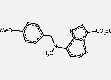 CCOC(=O)c1cnc2c(N(C)Cc3ccc(OC)cc3)ccnn12